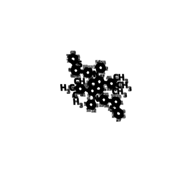 Cc1cc(-c2cc(N(c3ccccc3)c3ccc(-c4cccc5c4sc4ccccc45)cc3)c3ccc4c(-c5cc(C)c(C)c(C)c5)cc(N(c5ccccc5)c5ccc(-c6cccc7c6sc6ccccc67)cc5)c5ccc2c3c45)cc(C)c1C